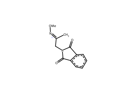 CO/N=C(\C)CN1C(=O)c2ccccc2C1=O